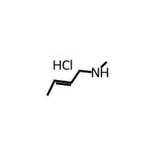 CC=CCNC.Cl